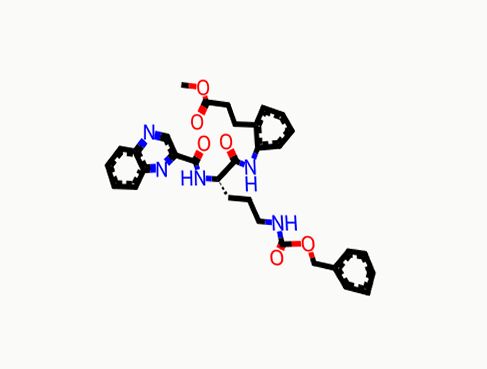 COC(=O)CCc1ccccc1NC(=O)[C@H](CCCNC(=O)OCc1ccccc1)NC(=O)c1cnc2ccccc2n1